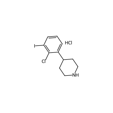 Cl.Clc1c(I)cccc1C1CCNCC1